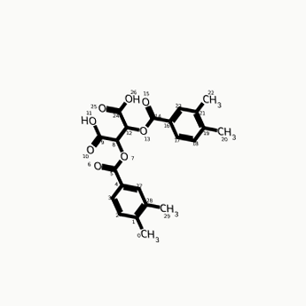 Cc1ccc(C(=O)OC(C(=O)O)C(OC(=O)c2ccc(C)c(C)c2)C(=O)O)cc1C